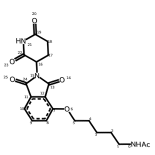 CC(=O)NCCCCCOc1cccc2c1C(=O)N(C1CCC(=O)NC1=O)C2=O